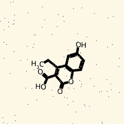 CCc1c(C(=O)O)c(=O)oc2ccc(O)cc12